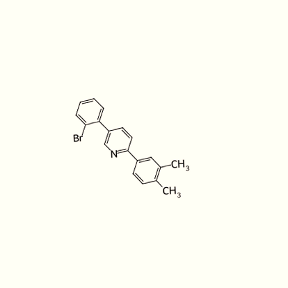 Cc1ccc(-c2ccc(-c3ccccc3Br)cn2)cc1C